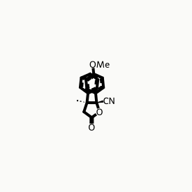 COc1ccc([C@]2(C#N)OC(=O)C[C@@]2(C)c2ccccc2)cc1